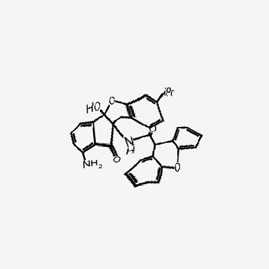 CC(C)c1ccc2c(c1)OC1(O)c3cccc(N)c3C(=O)C21NC(=O)C1c2ccccc2Oc2ccccc21